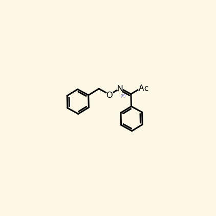 CC(=O)/C(=N/OCc1ccccc1)c1ccccc1